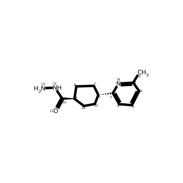 Cc1cccc([C@H]2CC[C@H](C(=O)NN)CC2)n1